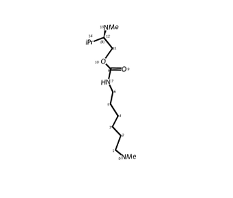 CNCCCCCCNC(=O)OC[C@H](NC)C(C)C